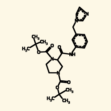 CC(C)(C)OC(=O)N1CCN(C(=O)OC(C)(C)C)C(C(=O)Nc2cccc(Cn3ccnc3)c2)C1